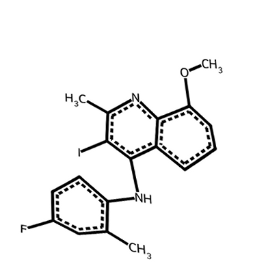 COc1cccc2c(Nc3ccc(F)cc3C)c(I)c(C)nc12